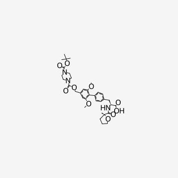 COc1cc(COC(=O)N2CCN(C(=O)OC(C)(C)C)CC2)cc(OC)c1-c1ccc(C[C@H](NC(=O)[C@@]2(C)CCCO2)C(=O)O)cc1